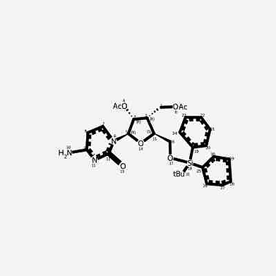 CC(=O)OC[C@H]1[C@@H](OC(C)=O)[C@H](n2ccc(N)nc2=O)O[C@@H]1CO[Si](c1ccccc1)(c1ccccc1)C(C)(C)C